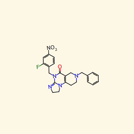 O=C1C2=C(CCN(Cc3ccccc3)C2)N2CCN=C2N1Cc1ccc([N+](=O)[O-])cc1F